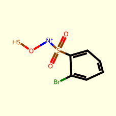 O=S(=O)([N+]OS)c1ccccc1Br